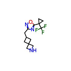 FC(F)(F)C1(c2nc(CC3CC4(CNC4)C3)no2)CC1